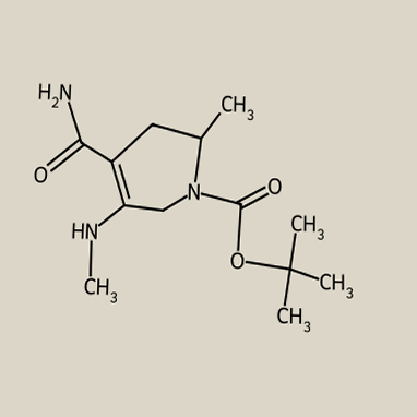 CNC1=C(C(N)=O)CC(C)N(C(=O)OC(C)(C)C)C1